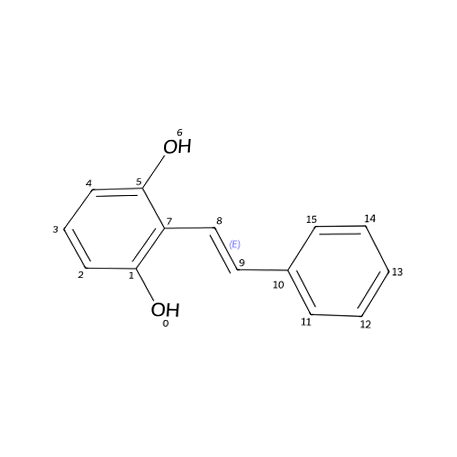 Oc1cccc(O)c1/C=C/c1ccccc1